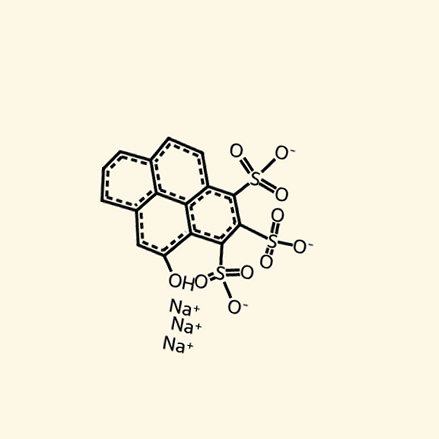 O=S(=O)([O-])c1c(S(=O)(=O)[O-])c2ccc3cccc4cc(O)c(c1S(=O)(=O)[O-])c2c34.[Na+].[Na+].[Na+]